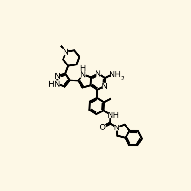 Cc1c(NC(=O)N2Cc3ccccc3C2)cccc1-c1nc(N)nc2[nH]c(-c3c[nH]nc3C3CCCN(C)C3)cc12